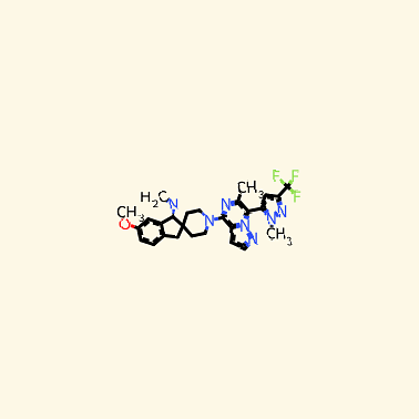 C=N[C@@H]1c2cc(OC)ccc2CC12CCN(c1nc(C)c(-c3cc(C(F)(F)F)nn3C)n3nccc13)CC2